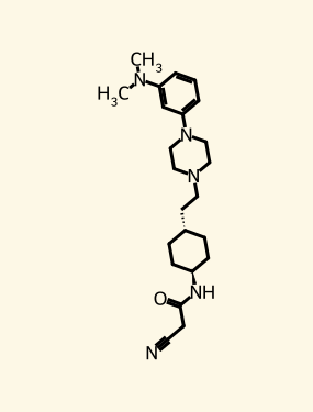 CN(C)c1cccc(N2CCN(CC[C@H]3CC[C@H](NC(=O)CC#N)CC3)CC2)c1